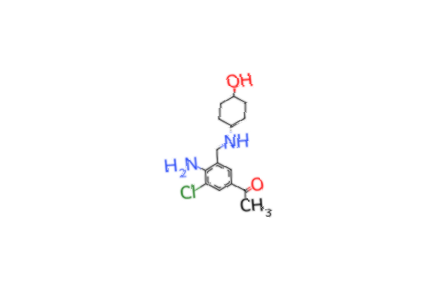 CC(=O)c1cc(Cl)c(N)c(CN[C@H]2CC[C@H](O)CC2)c1